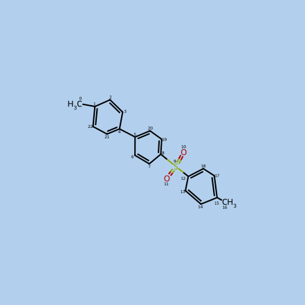 Cc1ccc(-c2ccc(S(=O)(=O)c3ccc(C)cc3)cc2)cc1